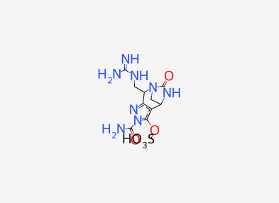 N=C(N)NCC1c2nn(C(N)=O)c(OS(=O)(=O)O)c2C2CN1C(=O)N2